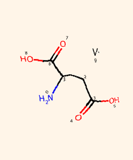 NC(CC(=O)O)C(=O)O.[V]